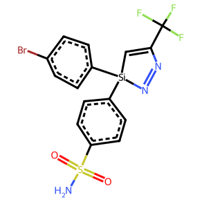 NS(=O)(=O)c1ccc([Si]2(c3ccc(Br)cc3)C=C(C(F)(F)F)N=N2)cc1